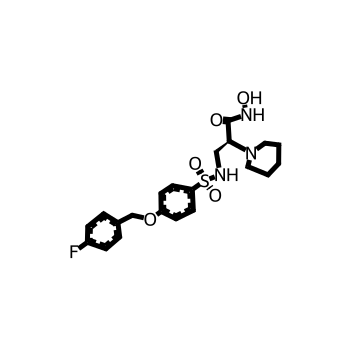 O=C(NO)[C@H](CNS(=O)(=O)c1ccc(OCc2ccc(F)cc2)cc1)N1CCCCC1